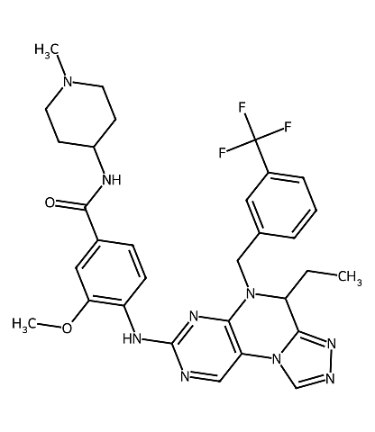 CCC1c2nncn2-c2cnc(Nc3ccc(C(=O)NC4CCN(C)CC4)cc3OC)nc2N1Cc1cccc(C(F)(F)F)c1